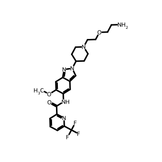 COc1cc2nn(C3CCN(CCOCCN)CC3)cc2cc1NC(=O)c1cccc(C(F)(F)F)n1